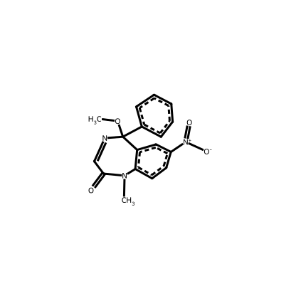 COC1(c2ccccc2)N=CC(=O)N(C)c2ccc([N+](=O)[O-])cc21